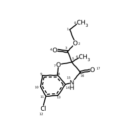 CCOC(=O)C1(C)Oc2ccc(Cl)cc2NC1=O